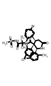 Cc1ccc(F)cc1[C@@H]1NC(=O)C[C@H](c2cc(Br)ccc2OC(C)(C)C(=O)NS(C)(=O)=O)[C@@]12C(=O)Nc1cc(Cl)ccc12